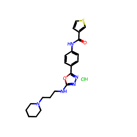 Cl.O=C(Nc1ccc(-c2nnc(NCCCN3CCCCC3)o2)cc1)c1ccsc1